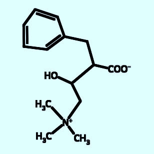 C[N+](C)(C)CC(O)C(Cc1ccccc1)C(=O)[O-]